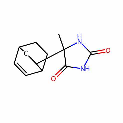 CC1(C2CC3C=CC2CC3)NC(=O)NC1=O